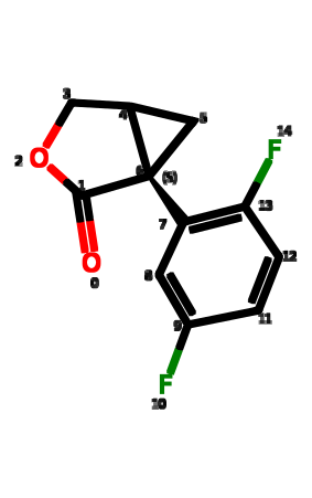 O=C1OCC2C[C@]12c1cc(F)ccc1F